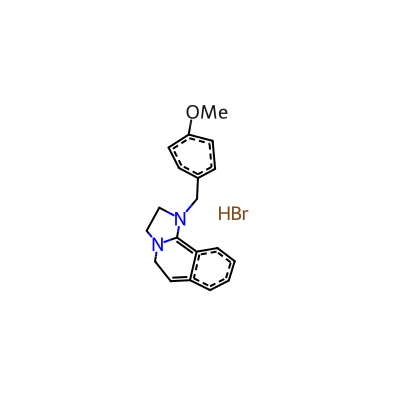 Br.COc1ccc(CN2CCN3CC=c4ccccc4=C32)cc1